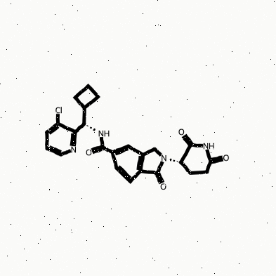 O=C1CC[C@H](N2Cc3cc(C(=O)N[C@H](c4ncccc4Cl)C4CCC4)ccc3C2=O)C(=O)N1